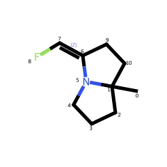 CC12CCCN1/C(=C\F)CC2